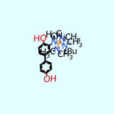 CN(C)P(N(C)C)(N(C)c1cc(-c2ccc(O)cc2)ccc1O)=[N+](C)C(C)(C)C